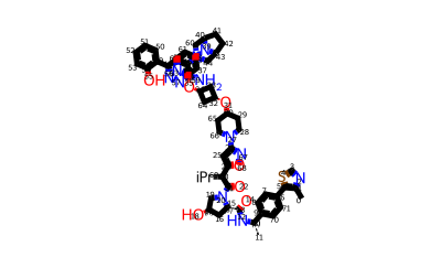 Cc1ncsc1-c1ccc([C@H](C)NC(=O)[C@@H]2C[C@@H](O)CN2C(=O)C(c2cc(N3CCC(O[C@H]4C[C@H](Oc5cc(N6C7CCC6CN(c6cc(-c8ccccc8O)nnc6N)C7)ccn5)C4)CC3)no2)C(C)C)cc1